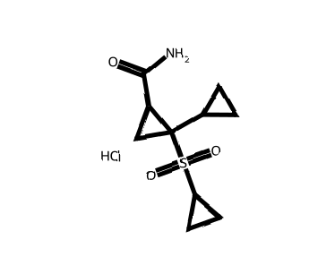 Cl.NC(=O)C1CC1(C1CC1)S(=O)(=O)C1CC1